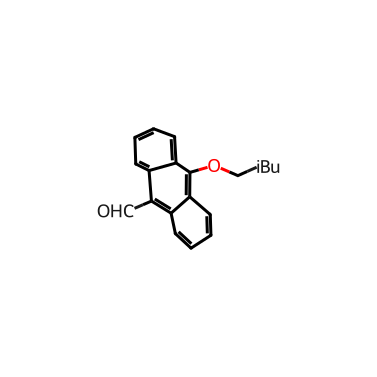 CCC(C)COc1c2ccccc2c(C=O)c2ccccc12